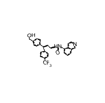 O=C(C=CC=C(c1ccc(CO)cc1)c1ccc(C(F)(F)F)cc1)Nc1cccc2cnccc12